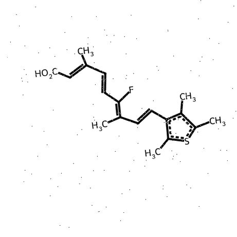 CC(C=CC(F)=C(C)/C=C/c1c(C)sc(C)c1C)=CC(=O)O